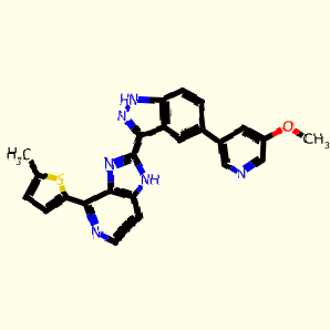 COc1cncc(-c2ccc3[nH]nc(-c4nc5c(-c6ccc(C)s6)nccc5[nH]4)c3c2)c1